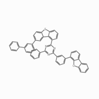 c1ccc(-c2cccc(-c3ccc4sc5cccc(-c6nc(-c7ccccc7)nc(-c7cccc(-c8cccc9c8oc8ccccc89)c7)n6)c5c4c3)c2)cc1